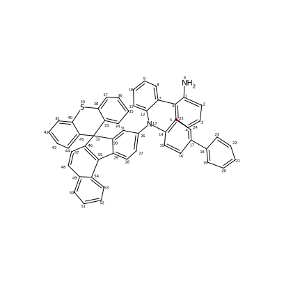 Nc1ccccc1-c1ccccc1N(c1ccc(-c2ccccc2)cc1)c1ccc2c(c1)C1(c3ccccc3Sc3ccccc31)c1ccc3ccccc3c1-2